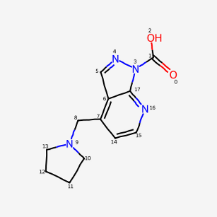 O=C(O)n1ncc2c(CN3CCCC3)ccnc21